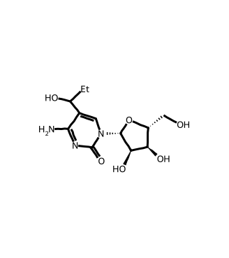 CCC(O)c1cn([C@@H]2O[C@H](CO)[C@@H](O)[C@H]2O)c(=O)nc1N